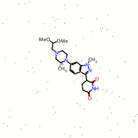 COC(CN1CCN(c2ccc3c(C4CCC(=O)NC4=O)nn(C)c3c2)[C@H](C)C1)OC